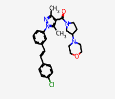 Cc1nn(-c2cccc(C=Cc3ccc(Cl)cc3)c2)c(C)c1C(=O)N1CCC(N2CCOCC2)C1